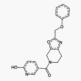 O=C(c1ccc(O)nc1)N1CCc2nc(COc3ccccc3)oc2C1